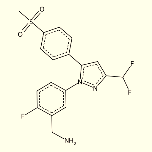 CS(=O)(=O)c1ccc(-c2cc(C(F)F)nn2-c2ccc(F)c(CN)c2)cc1